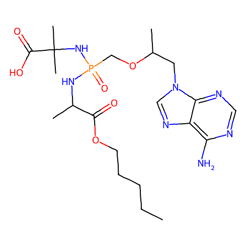 CCCCCOC(=O)C(C)NP(=O)(COC(C)Cn1cnc2c(N)ncnc21)NC(C)(C)C(=O)O